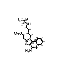 COCCc1nc2c(N)nc3ccccc3c2n1CCCCNS(C)(=O)=O